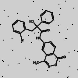 Cc1noc(=O)c2ccc(NC(=O)C(O)(Cc3ccccc3Br)c3ccccc3)cc12